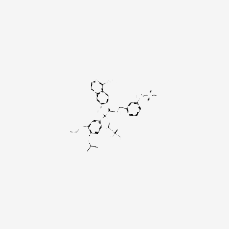 CCOc1cc(C(Nc2ccc3c(N)nccc3c2)(OC(=O)C(F)(F)F)C(=O)NCc2cccc(NS(C)(=O)=O)c2)ccc1OC(C)C